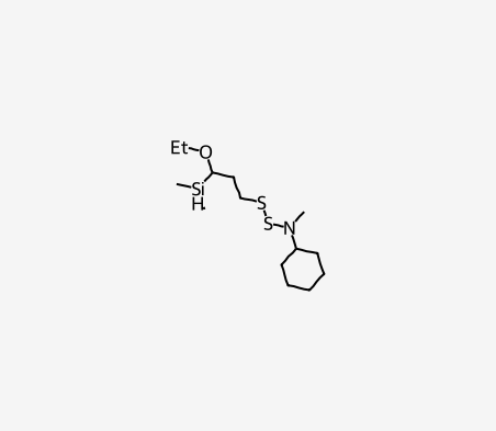 CCOC(CCSSN(C)C1CCCCC1)[SiH](C)C